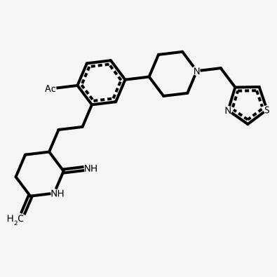 C=C1CCC(CCc2cc(C3CCN(Cc4cscn4)CC3)ccc2C(C)=O)C(=N)N1